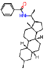 C[C@H]1CC[C@@H]2C3CC[C@@]4(C)C(CCC4[C@H](C)NC(=O)c4ccccc4)[C@@H]3CC[C@@H]2C1